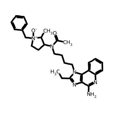 CCc1nc2c(N)nc3ccccc3c2n1CCCCN(C(C)=O)C1CC[N+]([O-])(Cc2ccccc2)C1C